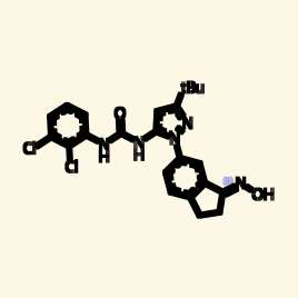 CC(C)(C)c1cc(NC(=O)Nc2cccc(Cl)c2Cl)n(-c2ccc3c(c2)/C(=N/O)CC3)n1